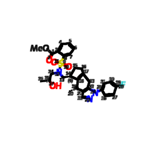 COC(=O)c1ccccc1S(=O)(=O)N(C[C@H]1CCC2=C1[C@@H](C)c1cnn(-c3ccc(F)cc3)c1C2)C[C@H](C)O